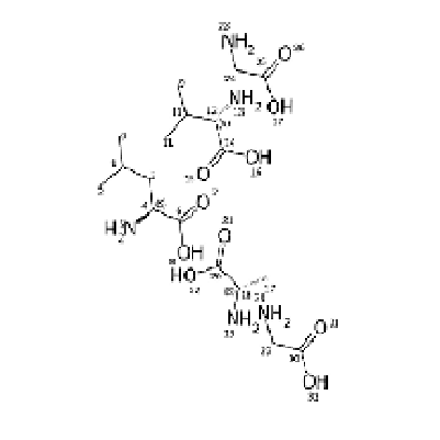 CC(C)C[C@H](N)C(=O)O.CC(C)[C@H](N)C(=O)O.C[C@H](N)C(=O)O.NCC(=O)O.NCC(=O)O